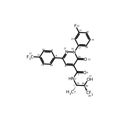 C[C@H](NC(=O)c1cc(-c2ccc(C(F)(F)F)cc2)nn(-c2cccc(F)c2)c1=O)[C@@H](O)C(F)(F)F